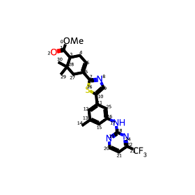 COC(=O)C1CC=C(c2ncc(-c3cc(C)cc(Nc4nccc(C(F)(F)F)n4)c3)s2)CC1(C)C